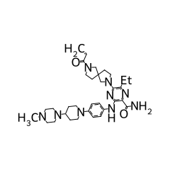 C=CC(=O)N1CCC2(CCN(c3nc(Nc4ccc(N5CCC(N6CCN(C)CC6)CC5)cc4)c(C(N)=O)nc3CC)C2)C1